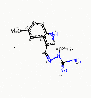 CCCCCN(/N=C\c1c[nH]c2ccc(OC)cc12)C(=N)N